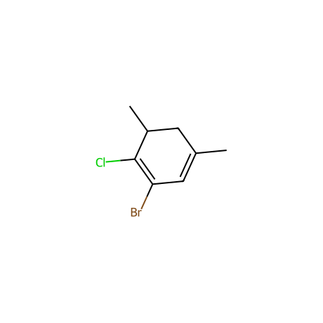 CC1=CC(Br)=C(Cl)C(C)C1